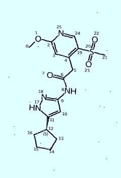 COc1cc(CC(=O)Nc2cc([C@H]3C[CH]CC3)[nH]n2)c(S(C)(=O)=O)cn1